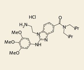 COc1cc(Nc2nc3cc(C(=O)N(CC(C)C)CC(C)C)ccc3n2CCN)cc(OC)c1OC.Cl